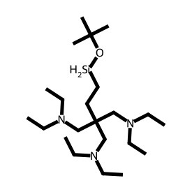 CCN(CC)CC(CC[SiH2]OC(C)(C)C)(CN(CC)CC)CN(CC)CC